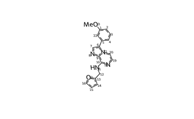 COc1cccc(-c2cnc3c(NCc4ccco4)nccn23)c1